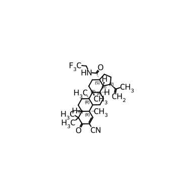 C=C(C)[C@@H]1CC[C@]2(C(=O)NCC(F)(F)F)CC[C@]3(C)[C@H](CCC4[C@@]5(C)C=C(C#N)C(=O)C(C)(C)[C@@H]5CC[C@]43C)[C@@H]12